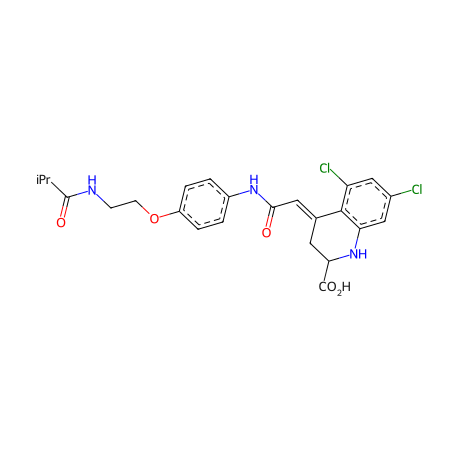 CC(C)C(=O)NCCOc1ccc(NC(=O)C=C2CC(C(=O)O)Nc3cc(Cl)cc(Cl)c32)cc1